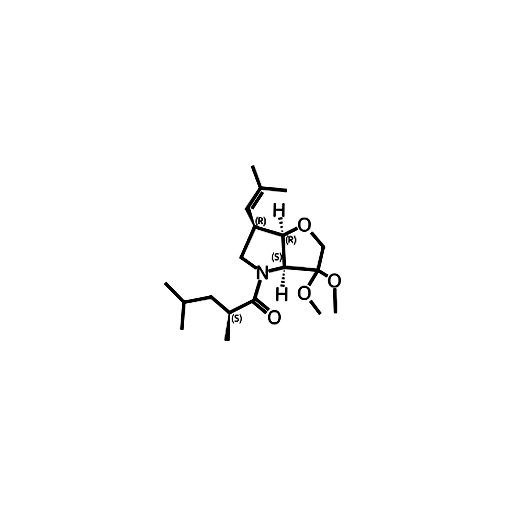 COC1(OC)CO[C@@H]2[C@H](C=C(C)C)CN(C(=O)[C@@H](C)CC(C)C)[C@@H]21